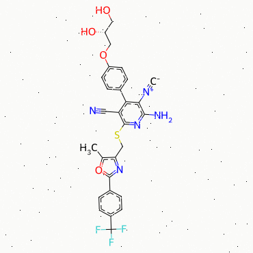 [C-]#[N+]c1c(N)nc(SCc2nc(-c3ccc(C(F)(F)F)cc3)oc2C)c(C#N)c1-c1ccc(OC[C@H](O)CO)cc1